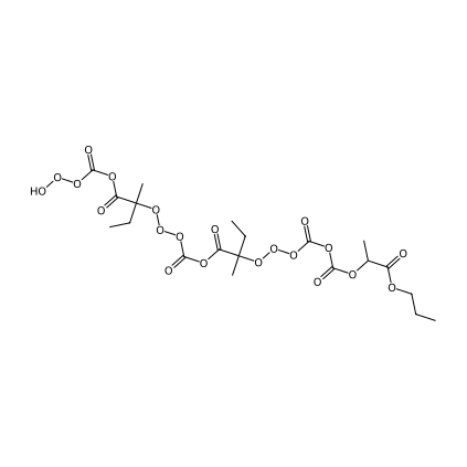 CCCOC(=O)C(C)OC(=O)OC(=O)OOOC(C)(CC)C(=O)OC(=O)OOOC(C)(CC)C(=O)OC(=O)OOO